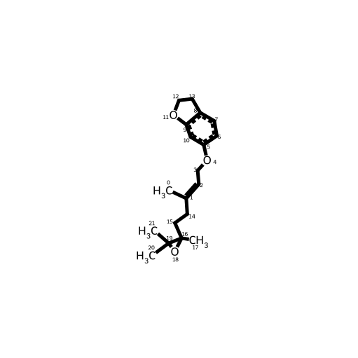 C/C(=C\COc1ccc2c(c1)OCC2)CCC1(C)OC1(C)C